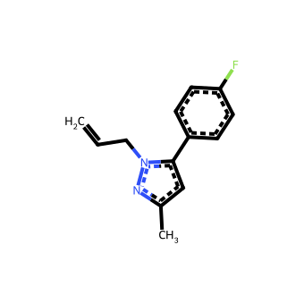 C=CCn1nc(C)cc1-c1ccc(F)cc1